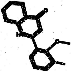 COc1c(C)cccc1-c1cc(=O)c2ccccc2[nH]1